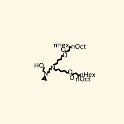 CCCCCCCCC(CCCCCC)CC(=O)OCCCCCN(CCCCCOC(=O)CC(CCCCCC)CCCCCCCC)CCN(CCO)C1CC1